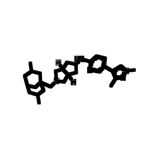 Cc1nn(C)cc1-c1ccc(N[C@H]2C[C@@H]3CN(CC45CC(C)CC(CC(C)C4)C5)C[C@@H]3C2)nc1